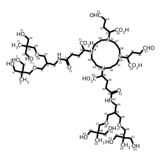 CC(CO)(CO)COCC(CNC(=O)CCC(C(=O)O)N1CCN(C(CCC=O)C(=O)O)CCN(C(CCC=O)C(=O)O)CCN(C(CCC(=O)NCC(COCC(C)(CO)CO)COCC(C)(CO)CO)C(=O)O)CC1)COCC(C)(CO)CO